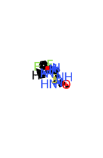 COC1CN(C(=N)SC(=N)c2cnn3ccc(N4CC[C@H]5C[C@]54c4cc(F)ccc4F)nc23)C1